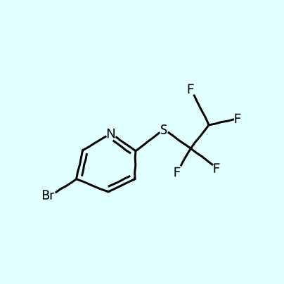 FC(F)C(F)(F)Sc1ccc(Br)cn1